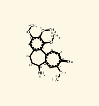 COc1cc2c(c(OC)c1OC)-c1ccc(=O)c(OC)cc1C(N)CC2